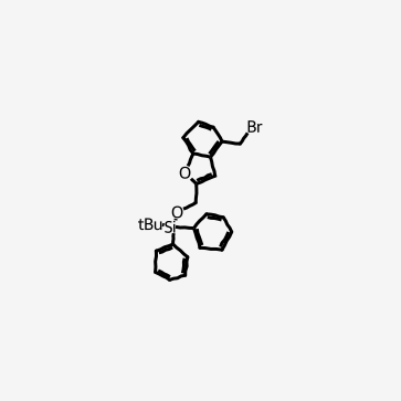 CC(C)(C)[Si](OCc1cc2c(CBr)cccc2o1)(c1ccccc1)c1ccccc1